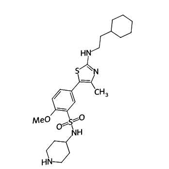 COc1ccc(-c2sc(NCCC3CCCCC3)nc2C)cc1S(=O)(=O)NC1CCNCC1